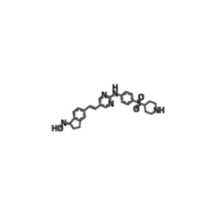 O=S(=O)(c1ccc(Nc2ncc(C=Cc3ccc4c(c3)CCC4=NO)cn2)cc1)C1CCNCC1